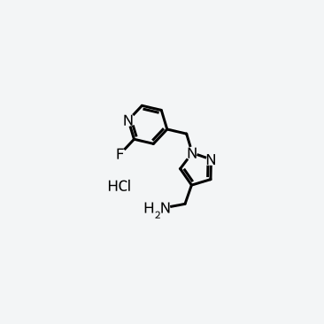 Cl.NCc1cnn(Cc2ccnc(F)c2)c1